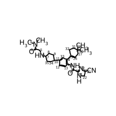 CN(C)C(=O)CNC1CCC(c2ccc(NC(=O)C3=NC(C#N)CN3)c(C3=CCC(C)(C)CC3)c2)CC1